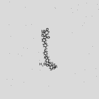 COc1cc2nn(C3CCN(CCC4CCN(c5ccc6c(c5)C(=O)N(C5CCC(=O)NC5=O)C6=O)CC4)CC3)cc2cc1NC(=O)c1cccc(C(F)(F)F)n1